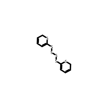 C1=CCSC(SSSSC2=CC=CCS2)=C1